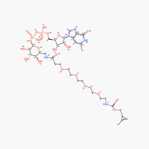 CC1=CC1COC(=O)NCCOCCOCCOCCOCCC(=O)NCC1O[C@H](OP(=O)(O)OP(=O)(O)OC[C@H]2O[C@@H](n3cnc4c(=O)[nH]c(C)cc43)[C@@H](O)C2O)C(O)[C@@H](O)[C@@H]1O